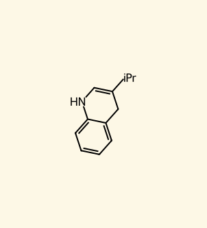 CC(C)C1=CNc2ccccc2C1